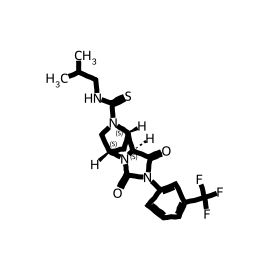 CC(C)CNC(=S)N1C[C@@H]2C[C@H]1[C@H]1C(=O)N(c3cccc(C(F)(F)F)c3)C(=O)N21